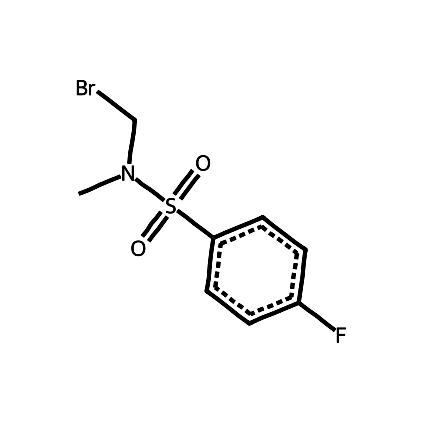 CN(CBr)S(=O)(=O)c1ccc(F)cc1